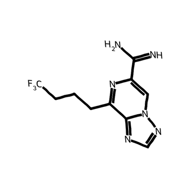 N=C(N)c1cn2ncnc2c(CCCC(F)(F)F)n1